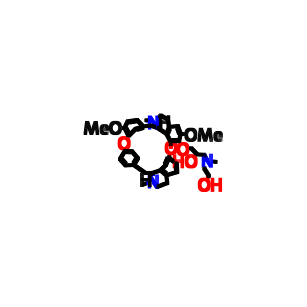 COc1ccc2cc1Oc1ccc(cc1)C[C@H]1c3cc(ccc3CCN1C)Oc1c(OCC(O)CN(C)CCO)c(OC)cc3c1[C@H](C2)N(C)CC3